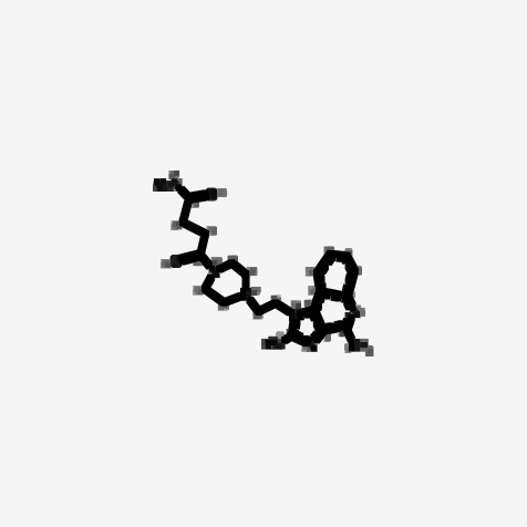 CCCCc1nc2c(N)nc3ccccc3c2n1CCN1CCN(C(=O)CCC(=O)NC)CC1